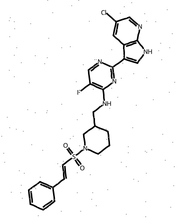 O=S(=O)(C=Cc1ccccc1)N1CCCC(CNc2nc(-c3c[nH]c4ncc(Cl)cc34)ncc2F)C1